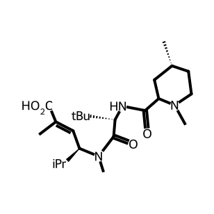 C/C(=C\[C@H](C(C)C)N(C)C(=O)[C@@H](NC(=O)C1C[C@H](C)CCN1C)C(C)(C)C)C(=O)O